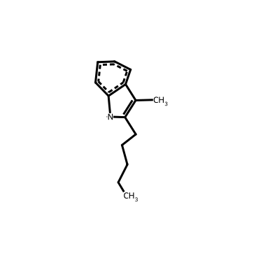 CCCCCC1=C(C)c2ccccc2[N]1